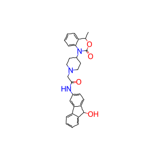 CC1OC(=O)N(C2CCN(CC(=O)Nc3ccc4c(c3)-c3ccccc3C4O)CC2)c2ccccc21